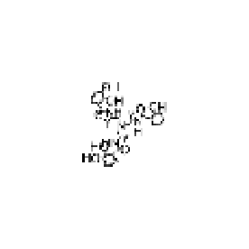 O=C(N[CH]([Y])CN(C[CH]([Y])NC(=O)c1cccc(O)c1O)C[CH]([Y])NC(=O)c1cccc(O)c1O)c1ccccc1O